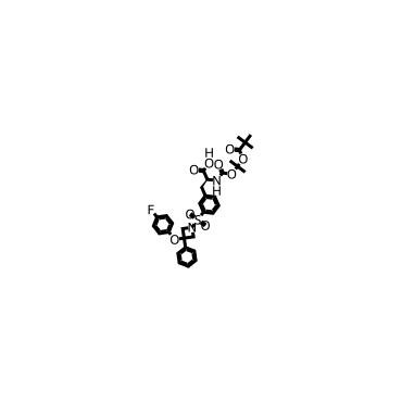 CC(C)(OC(=O)N[C@@H](Cc1cccc(S(=O)(=O)N2CC(Oc3ccc(F)cc3)(c3ccccc3)C2)c1)C(=O)O)OC(=O)C(C)(C)C